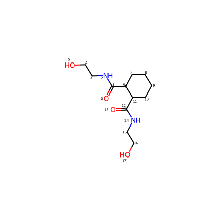 O=C(NCCO)C1CCCCC1C(=O)NCCO